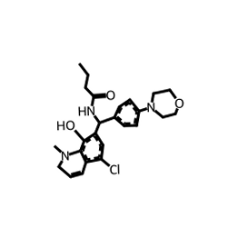 CCCC(=O)NC(c1ccc(N2CCOCC2)cc1)c1cc(Cl)c2c(c1O)N(C)CC=C2